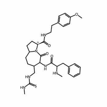 CNC(=S)NCC1CCC2CC[C@@H](C(=O)NCCc3ccc(OC)cc3)N2C(=O)C1NC(=O)C(Cc1ccccc1)NC